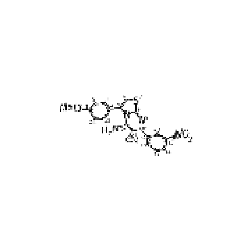 COc1ccc(C2=CSC3=NC(c4cccc([N+](=O)[O-])c4)C(C#N)=C(N)N23)cc1